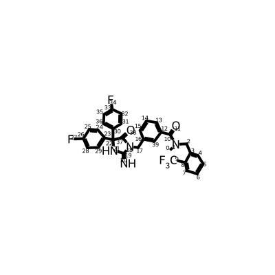 CN(Cc1ccccc1C(F)(F)F)C(=O)c1cccc(CN2C(=N)NC(c3ccc(F)cc3)(c3ccc(F)cc3)C2=O)c1